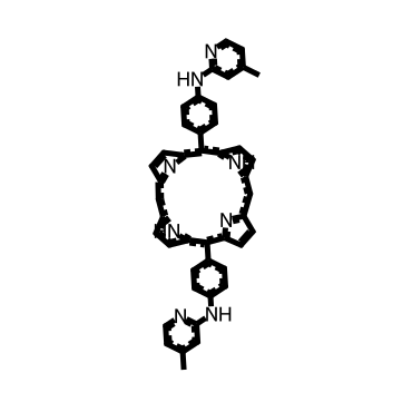 Cc1ccnc(Nc2ccc(-c3c4nc(cc5ccc([nH]5)c(-c5ccc(Nc6cc(C)ccn6)cc5)c5nc(cc6ccc3[nH]6)C=C5)C=C4)cc2)c1